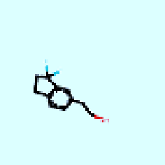 OCCc1ccc2c(c1)C(F)(F)CC2